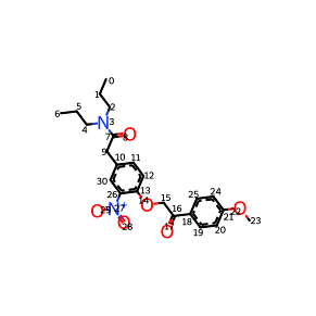 CCCN(CCC)C(=O)Cc1ccc(OCC(=O)c2ccc(OC)cc2)c([N+](=O)[O-])c1